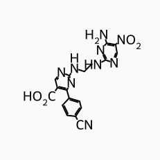 N#Cc1ccc(-c2nc(NCCNc3ncc([N+](=O)[O-])c(N)n3)ncc2C(=O)O)cc1